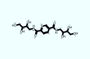 O=C(NCC(O)C(O)CO)c1ccc(C(=O)NCC(O)C(O)CO)nc1